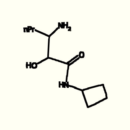 CCCC(N)C(O)C(=O)NC1CCC1